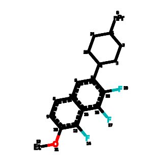 CCCC1CCC(c2cc3ccc(OCC)c(F)c3c(F)c2F)CC1